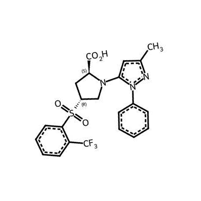 Cc1cc(N2C[C@H](S(=O)(=O)c3ccccc3C(F)(F)F)C[C@H]2C(=O)O)n(-c2ccccc2)n1